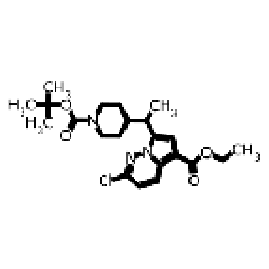 CCOC(=O)c1cc(C(C)C2CCN(C(=O)OC(C)(C)C)CC2)n2nc(Cl)ccc12